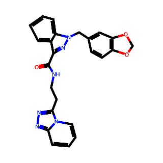 O=C(NCCc1nnc2ccccn12)c1nn(Cc2ccc3c(c2)OCO3)c2ccccc12